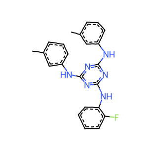 Cc1cccc(Nc2nc(Nc3cccc(C)c3)nc(Nc3ccccc3F)n2)c1